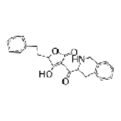 O=C1OC(CCc2ccccc2)C(O)=C1C(=O)C1Cc2ccccc2CN1